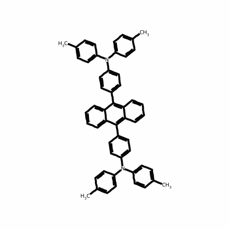 Cc1ccc(N(c2ccc(C)cc2)c2ccc(-c3c4ccccc4c(-c4ccc(N(c5ccc(C)cc5)c5ccc(C)cc5)cc4)c4ccccc34)cc2)cc1